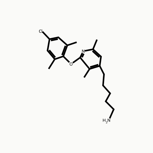 Cc1cc(CCCCCN)c(C)c(Oc2c(C)cc(Cl)cc2C)n1